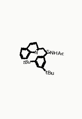 CC(=O)N[C@H](Cc1ccc2ccccc2n1)c1cc(C(C)(C)C)cc(C(C)(C)C)c1